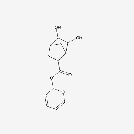 O=C(OC1C=CC=CO1)C1CC2CC1C(O)C2O